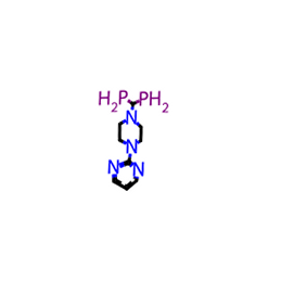 PC(P)N1CCN(c2ncccn2)CC1